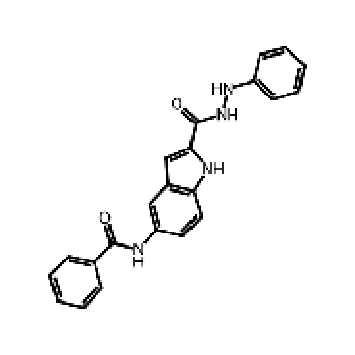 O=C(Nc1ccc2[nH]c(C(=O)NNc3ccccc3)cc2c1)c1ccccc1